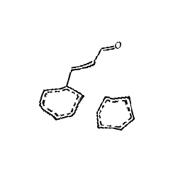 O=CC=Cc1ccccc1.c1ccccc1